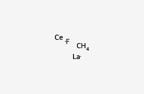 C.[Ce].[F].[La]